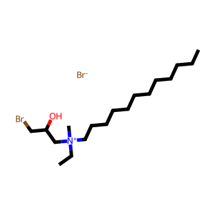 CCCCCCCCCCCC[N+](C)(CC)CC(O)CBr.[Br-]